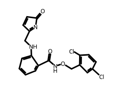 O=C1C=CC(CNc2ccccc2C(=O)NOCc2cc(Cl)ccc2Cl)=N1